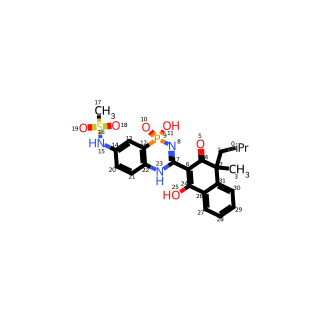 CC(C)CC1(C)C(=O)C(C2=NP(=O)(O)c3cc(NS(C)(=O)=O)ccc3N2)=C(O)c2ccccc21